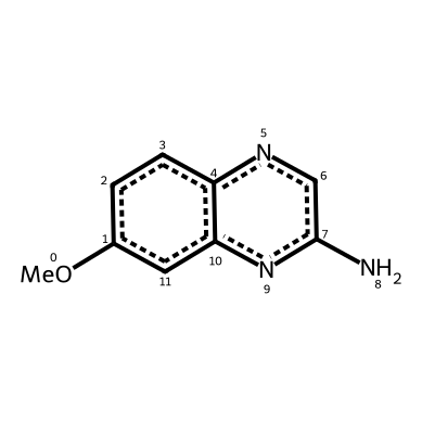 COc1ccc2ncc(N)nc2c1